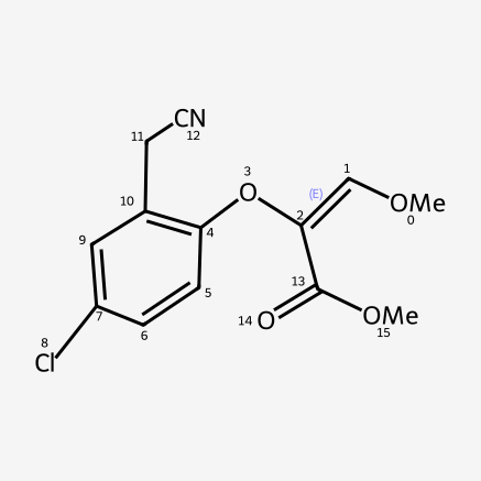 CO/C=C(/Oc1ccc(Cl)cc1CC#N)C(=O)OC